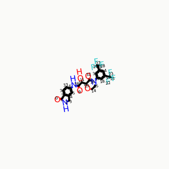 O=C1NCc2cc(NC(=O)[C@H](O)[C@H]3OCCN(c4cc(C(F)(F)F)cc(C(F)(F)F)c4)C3=O)ccc21